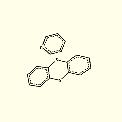 c1ccc2c(c1)Sc1ccccc1S2.c1ccncc1